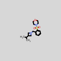 CC(C)C1CN(Cc2ccccc2S(=O)(=O)N2CCOCC2)C1